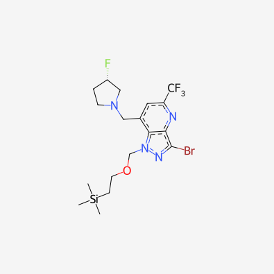 C[Si](C)(C)CCOCn1nc(Br)c2nc(C(F)(F)F)cc(CN3CC[C@H](F)C3)c21